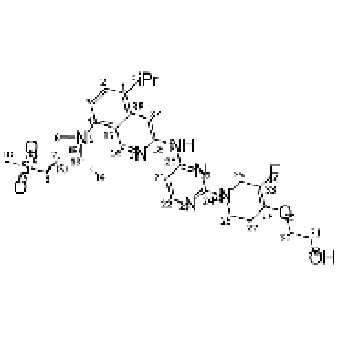 CC(C)c1ccc(N2C[C@H](CS(C)(=O)=O)[C@H]2C)c2cnc(Nc3ccnc(N4CCC(OCCO)=C(F)C4)n3)cc12